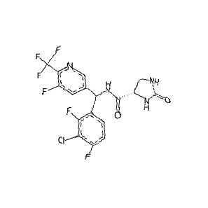 O=C1NC[C@@H](C(=O)NC(c2cnc(C(F)(F)F)c(F)c2)c2ccc(F)c(Cl)c2F)N1